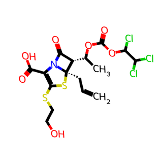 C=CC[C@]12SC(SCCO)=C(C(=O)O)N1C(=O)[C@@H]2C(C)OC(=O)OC(Cl)C(Cl)Cl